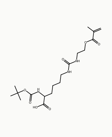 C=C(C)C(=O)OCCNC(=O)NCCCCC(NC(=O)OC(C)(C)C)C(=O)O